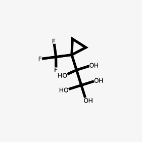 OC(O)(O)C(O)(O)C1(C(F)(F)F)CC1